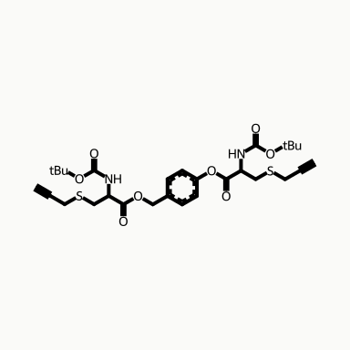 C#CCSCC(NC(=O)OC(C)(C)C)C(=O)OCc1ccc(OC(=O)C(CSCC#C)NC(=O)OC(C)(C)C)cc1